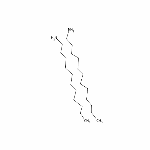 CCCCCCCCCCCCN.CCCCCCCCCCCN